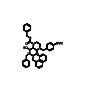 COc1ccc(CN2CCN(C(=O)OCc3ccccc3)C(C(O)[C@H](Cc3ccccc3)N(Cc3ccccc3)Cc3ccccc3)C2=O)cc1